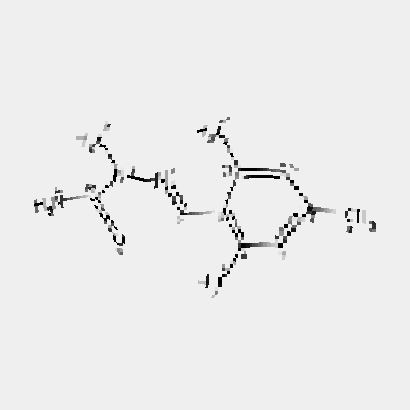 Cc1cc(C)c(C=NN(C)C(N)=O)c(C)c1